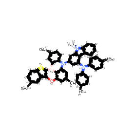 Cc1cc2c3c(c1)N(c1cc(N(c4ccc(C(C)(C)C)cc4)c4ccc(C(C)(C)C)cc4)c4c5ccccc5n(C)c4c1)c1ccc(C(C)(C)C)cc1B3c1sc3ccc(C(C)(C)C)cc3c1O2